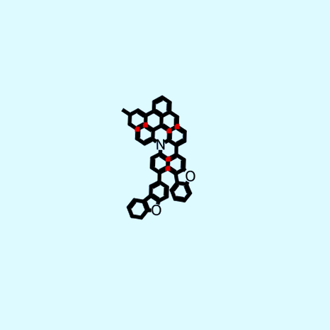 CC1C=C(c2cccc3cccc(-c4ccccc4N(c4ccc(-c5ccc6oc7c(c6c5)C=CCC7)cc4)c4ccccc4-c4ccc5c(c4)oc4ccccc45)c23)C=CC1